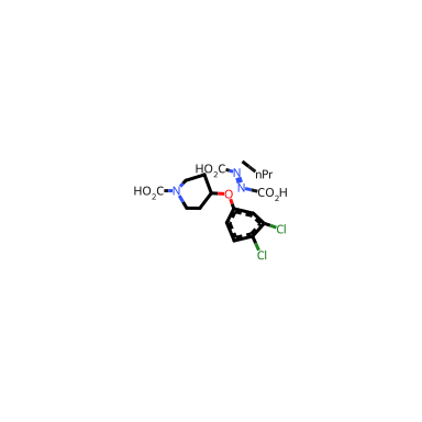 CCCC.O=C(O)/N=N/C(=O)O.O=C(O)N1CCC(Oc2ccc(Cl)c(Cl)c2)CC1